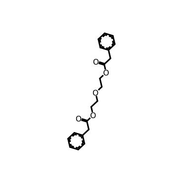 O=C(Cc1ccccc1)OCCOCCOC(=O)Cc1ccccc1